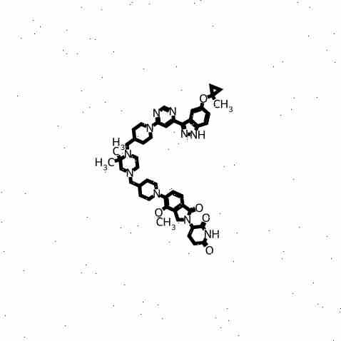 COc1c(N2CCC(CN3CCN(CC4CCN(c5cc(-c6n[nH]c7ccc(OC8(C)CC8)cc67)ncn5)CC4)C(C)(C)C3)CC2)ccc2c1CN(C1CCC(=O)NC1=O)C2=O